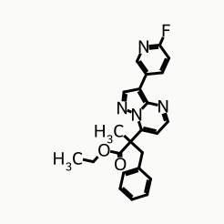 CCOC(=O)C(C)(Cc1ccccc1)c1ccnc2c(-c3ccc(F)nc3)cnn12